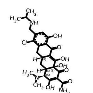 CC(C)NCc1cc(O)c2c(c1Cl)C[C@H]1C[C@H]3[C@H](N(C)C)C(O)=C(C(N)=O)C(=O)[C@@]3(O)C(O)=C1C2=O